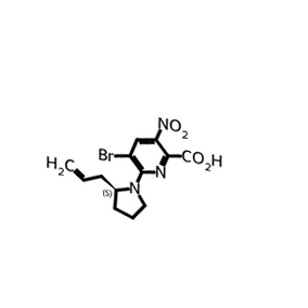 C=CC[C@@H]1CCCN1c1nc(C(=O)O)c([N+](=O)[O-])cc1Br